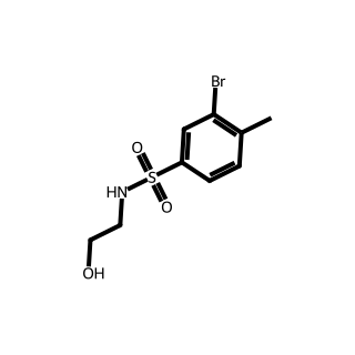 Cc1ccc(S(=O)(=O)NCCO)cc1Br